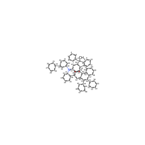 CC1(c2ccccc2)c2ccccc2-c2ccc(N(c3cccc(-c4ccccc4)c3)c3ccccc3-c3ccc4c(c3)c(-c3ccccc3)c(-c3ccccc3)c3ccccc34)cc21